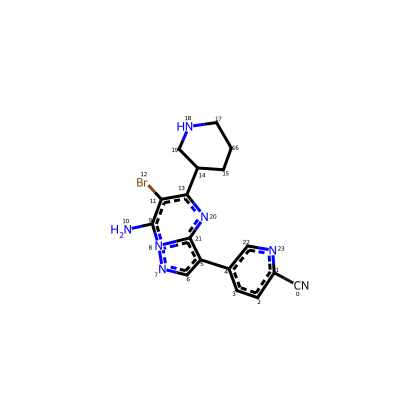 N#Cc1ccc(-c2cnn3c(N)c(Br)c(C4CCCNC4)nc23)cn1